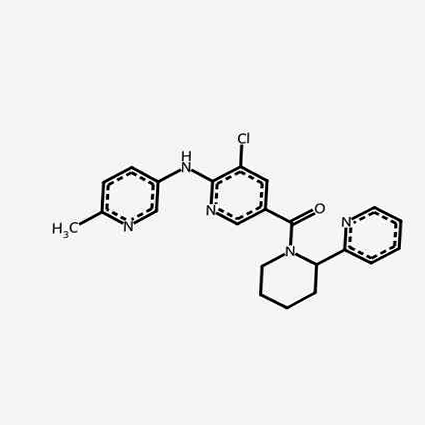 Cc1ccc(Nc2ncc(C(=O)N3CCCCC3c3ccccn3)cc2Cl)cn1